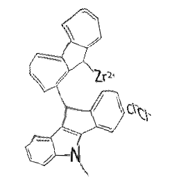 Cn1c2c(c3ccccc31)C(c1cccc3c1[CH]([Zr+2])c1ccccc1-3)c1ccccc1-2.[Cl-].[Cl-]